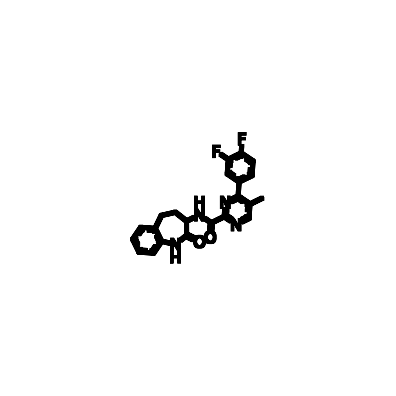 Cc1cnc(C(=O)NC2CCc3ccccc3NC2=O)nc1-c1ccc(F)c(F)c1